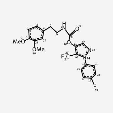 COc1ccc(CCNC(=O)Oc2cnn(-c3ccc(F)cc3)c2C(F)(F)F)cc1OC